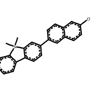 C[Si]1(C)c2ccccc2-c2ccc(-c3ccc4cc(Cl)ccc4c3)cc21